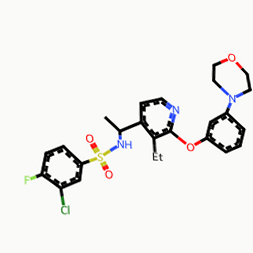 CCc1c(C(C)NS(=O)(=O)c2ccc(F)c(Cl)c2)ccnc1Oc1cccc(N2CCOCC2)c1